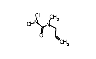 C=CCN(C)C(=O)N(Cl)Cl